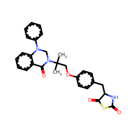 CC(C)(COc1ccc(CC2NC(=O)SC2=O)cc1)N1CN(c2ccccc2)c2ccccc2C1=O